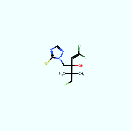 CC(C)(CF)C(O)(C=C(Cl)Cl)Cn1ncnc1S